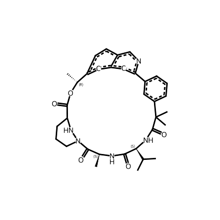 CC(C)[C@@H]1NC(=O)C(C)(C)c2cccc(c2)-c2cc3cc(ccc3cn2)[C@@H](C)OC(=O)C2CCCN(N2)C(=O)[C@H](C)NC1=O